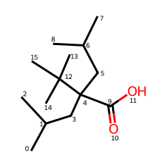 CC(C)CC(CC(C)C)(C(=O)O)C(C)(C)C